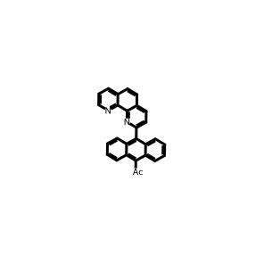 CC(=O)c1c2ccccc2c(-c2ccc3ccc4cccnc4c3n2)c2ccccc12